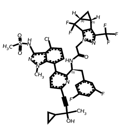 Cn1nc(NS(C)(=O)=O)c2c(Cl)ccc(-c3ccc(C#CC(C)(O)C4CC4)nc3[C@H](Cc3cc(F)cc(F)c3)NC(=O)Cn3nc(C(F)(F)F)c4c3C(F)(F)[C@@H]3C[C@H]43)c21